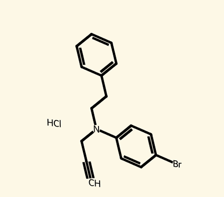 C#CCN(CCc1ccccc1)c1ccc(Br)cc1.Cl